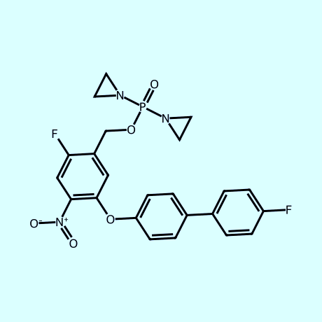 O=[N+]([O-])c1cc(F)c(COP(=O)(N2CC2)N2CC2)cc1Oc1ccc(-c2ccc(F)cc2)cc1